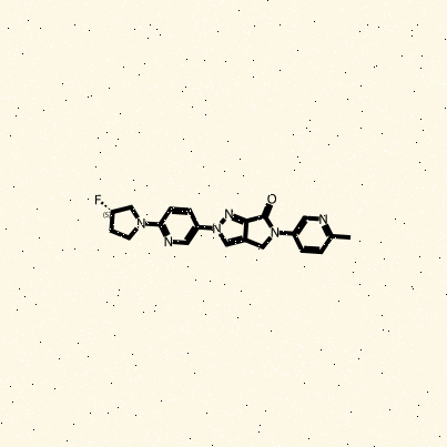 Cc1ccc(N2Cc3cn(-c4ccc(N5CC[C@H](F)C5)nc4)nc3C2=O)cn1